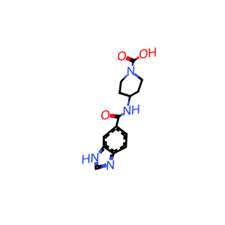 O=C(NC1CCN(C(=O)O)CC1)c1ccc2nc[nH]c2c1